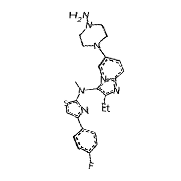 CCc1nc2ccc(N3CCN(N)CC3)cn2c1N(C)c1nc(-c2ccc(F)cc2)cs1